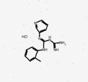 Cc1ccccc1NC(=Nc1cccnc1)NC(=N)N.Cl